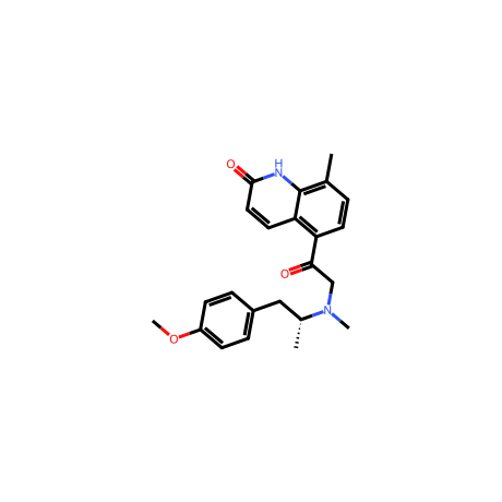 COc1ccc(C[C@@H](C)N(C)CC(=O)c2ccc(C)c3[nH]c(=O)ccc23)cc1